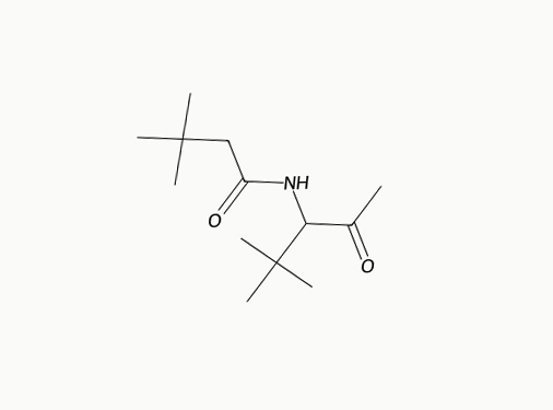 CC(=O)C(NC(=O)CC(C)(C)C)C(C)(C)C